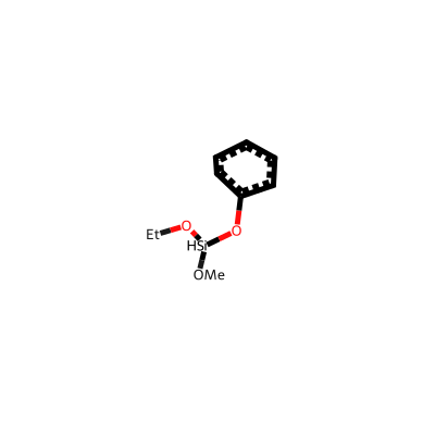 CCO[SiH](OC)Oc1ccccc1